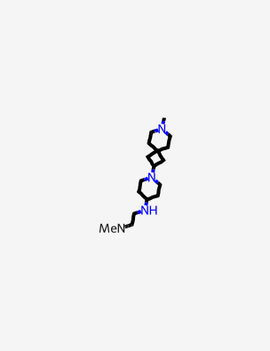 CNCCNC1CCN(C2CC3(CCN(C)CC3)C2)CC1